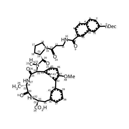 CCCCCCCCCCc1ccc2ccc(C(=O)NCCC(=O)N3CCC[C@H]3C(=O)N(C)[C@@H]3C(=O)N[C@@H](C)C(=O)N[C@H](C(=O)O)Cc4cccc(c4)-c4cc3ccc4OC)cc2c1